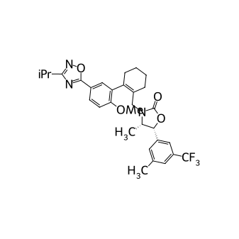 COc1ccc(-c2nc(C(C)C)no2)cc1C1=C(CN2C(=O)O[C@H](c3cc(C)cc(C(F)(F)F)c3)[C@@H]2C)CCCC1